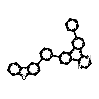 c1ccc(-c2ccc3c(c2)c2cc(-c4cccc(-c5ccc6oc7ccccc7c6c5)c4)ccc2c2nccnc32)cc1